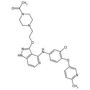 CC(=O)N1CCN(CCOc2n[nH]c3ccnc(Nc4ccc(Oc5ccc(C)nc5)c(Cl)c4)c23)CC1